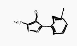 Cc1cccc(-c2nsc(C(=O)O)c2Cl)c1